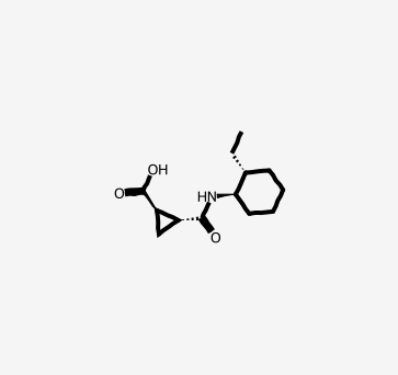 CC[C@@H]1CCCC[C@H]1NC(=O)[C@@H]1C[C@H]1C(=O)O